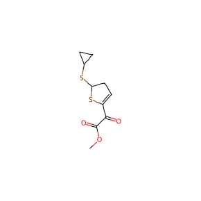 COC(=O)C(=O)C1=CCC(SC2CC2)S1